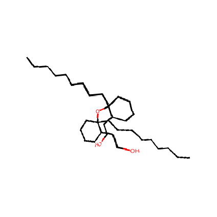 CCCCCCCCCC1(OC2(CCCCCCCCC)CCCCC2CCO)CCCCC1CCO